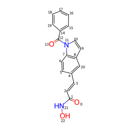 O=C(C=Cc1ccc2c(ccn2C(=O)c2ccccc2)c1)NO